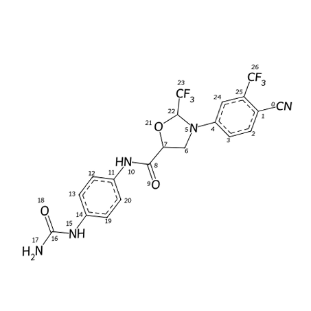 N#Cc1ccc(N2CC(C(=O)Nc3ccc(NC(N)=O)cc3)OC2C(F)(F)F)cc1C(F)(F)F